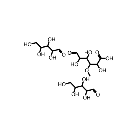 COC(C(O)C(=O)O)C(O)C(O)C=O.O=CC(O)C(O)C(O)CO.O=CC(O)C(O)C(O)CO